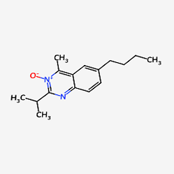 CCCCc1ccc2nc(C(C)C)[n+]([O-])c(C)c2c1